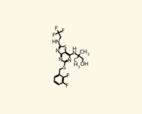 CC(C)(CO)Nc1nc(SCc2cccc(F)c2F)nc2nc(NCC(F)(F)F)sc12